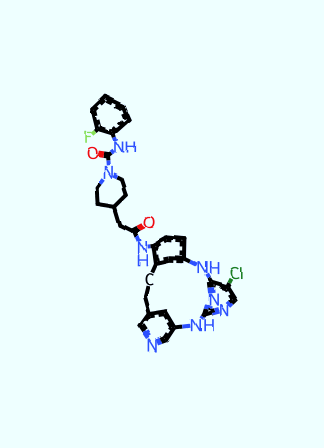 O=C(CC1CCN(C(=O)Nc2ccccc2F)CC1)Nc1ccc2cc1CCc1cncc(c1)Nc1ncc(Cl)c(n1)N2